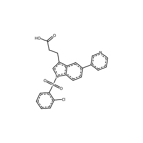 O=C(O)CCc1cn(S(=O)(=O)c2ccccc2Cl)c2ccc(-c3cccnc3)cc12